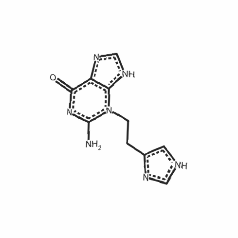 Nc1nc(=O)c2nc[nH]c2n1CCc1c[nH]cn1